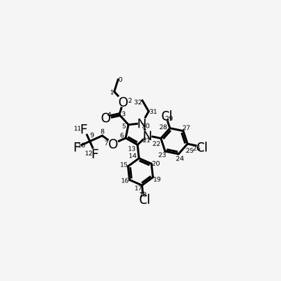 CCOC(=O)C1C(OCC(F)(F)F)=C(c2ccc(Cl)cc2)N(c2ccc(Cl)cc2Cl)N1CC